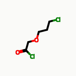 O=C(Cl)COCCCCl